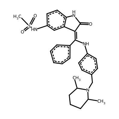 CC1CCCC(C)N1Cc1ccc(N/C(=C2\C(=O)Nc3ccc(NS(C)(=O)=O)cc32)c2ccccc2)cc1